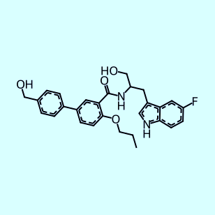 CCCOc1ccc(-c2ccc(CO)cc2)cc1C(=O)NC(CO)Cc1c[nH]c2ccc(F)cc12